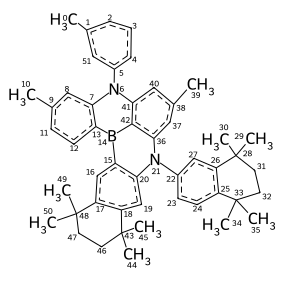 Cc1cccc(N2c3cc(C)ccc3B3c4cc5c(cc4N(c4ccc6c(c4)C(C)(C)CCC6(C)C)c4cc(C)cc2c43)C(C)(C)CCC5(C)C)c1